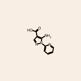 Nc1c(C(=O)O)cnn1-c1ccccn1